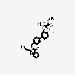 CC(C)CC1=NC2(CCCC2)C(=O)N1Cc1ccc(-c2cccc(OC(C)(C)C(=O)OC(C)(C)C)c2)cc1